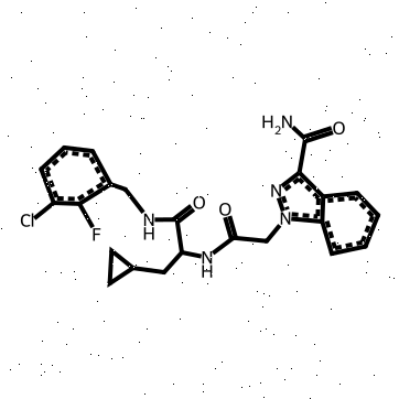 NC(=O)c1nn(CC(=O)NC(CC2CC2)C(=O)NCc2cccc(Cl)c2F)c2ccccc12